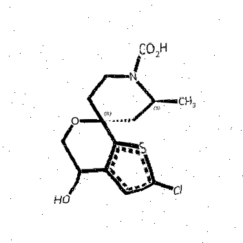 C[C@H]1C[C@@]2(CCN1C(=O)O)OCC(O)c1cc(Cl)sc12